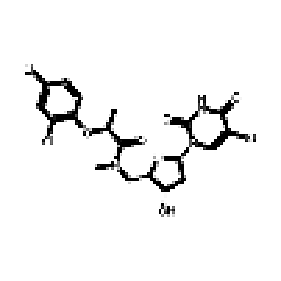 CCc1cn([C@H]2C[C@H](O)[C@@H](CN(C)C(=O)C(C)Oc3ccc(Cl)cc3Cl)O2)c(=O)[nH]c1=O